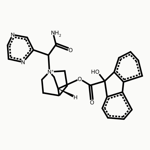 NC(=O)C(c1cnccn1)[N+]12CCC(CC1)[C@@H](OC(=O)C1(O)c3ccccc3-c3ccccc31)C2